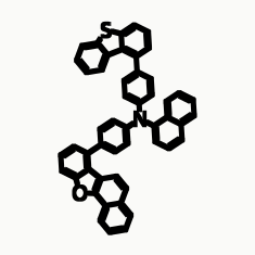 c1ccc2c(N(c3ccc(-c4cccc5oc6c7ccccc7ccc6c45)cc3)c3ccc(-c4cccc5sc6ccccc6c45)cc3)cccc2c1